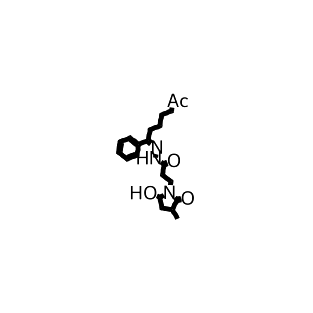 CC(=O)CCCC/C(=N/NC(=O)CCN1C(=O)C(C)CC1O)c1ccccc1